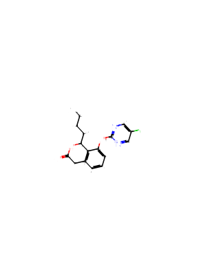 O=C1Cc2cccc(Oc3ncc(Cl)cn3)c2C(CCCC(F)(F)F)O1